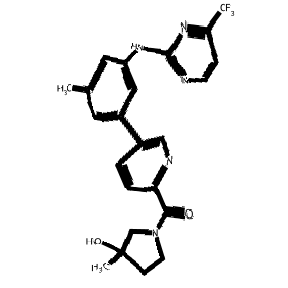 Cc1cc(Nc2nccc(C(F)(F)F)n2)cc(-c2ccc(C(=O)N3CCC(C)(O)C3)nc2)c1